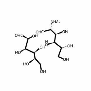 CC(=O)N[C@@H](C=O)[C@@H](O)[C@H](O)[C@H](O)CO.O=C[C@@H](O)[C@H](O)[C@@H](O)[C@H](O)CO